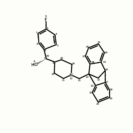 O[C@H](c1ccc(F)cc1)C1CCN(CC23CC(c4ccccc42)c2ccccc23)CC1